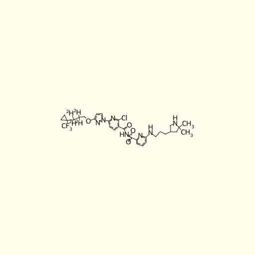 [2H]C([2H])(COc1ccn(-c2ccc(C(=O)NS(=O)(=O)c3cccc(NCCCC4CNC(C)(C)C4)n3)c(Cl)n2)n1)C([2H])([2H])C1(C(F)(F)F)CC1